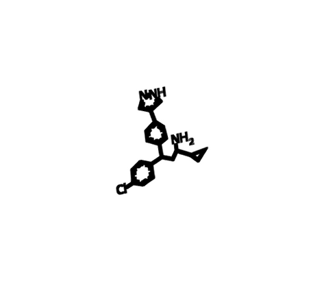 NC(CC(c1ccc(Cl)cc1)c1ccc(-c2cn[nH]c2)cc1)C1CC1